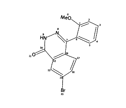 COc1ccccc1-c1n[nH]c(=O)c2cc(Br)ccc12